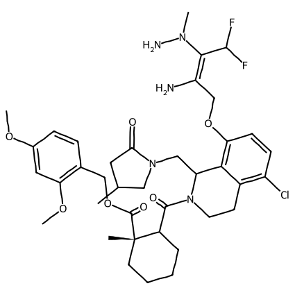 COc1ccc(COC(=O)[C@@]2(C)CCCCC2C(=O)N2CCc3c(Cl)ccc(OC/C(N)=C(\C(F)F)N(C)N)c3C2CN2CC(C)CC2=O)c(OC)c1